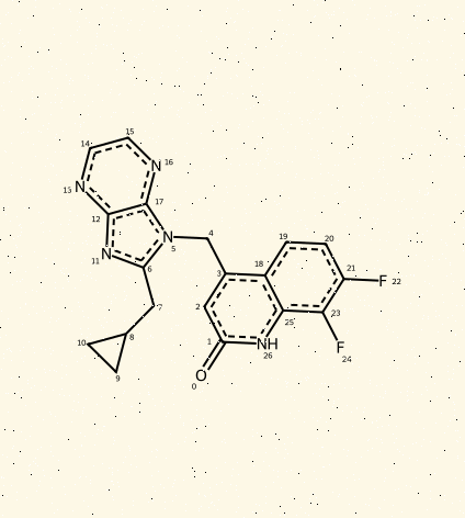 O=c1cc(Cn2c(CC3CC3)nc3nccnc32)c2ccc(F)c(F)c2[nH]1